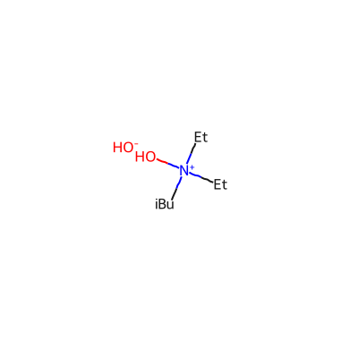 CCC(C)[N+](O)(CC)CC.[OH-]